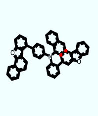 c1ccc(N(c2ccc(-c3cccc4oc5c6ccccc6ccc5c34)cc2)c2cccc3ccccc23)c(-c2ccc3c(c2)oc2ccccc23)c1